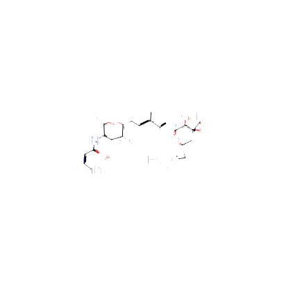 CC(/C=C/[C@H]1O[C@H](CC(=O)O)C[C@@]2(CO2)[C@@H]1O)=C\C[C@@H]1O[C@H](C)[C@H](NC(=O)/C=C\C(C)C)C[C@@H]1C